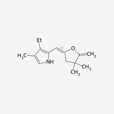 C=C1O/C(=C/c2[nH]cc(C)c2CC)CC1(C)C